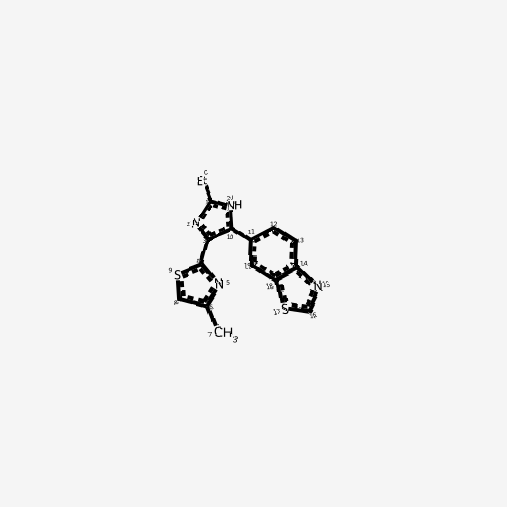 CCc1nc(-c2nc(C)cs2)c(-c2ccc3ncsc3c2)[nH]1